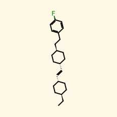 CC[C@H]1CC[C@H](C=C[C@H]2CC[C@H](CCc3ccc(F)cc3)CC2)CC1